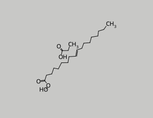 CCC(=O)O.CCCCCCCCC=CCCCCCCCC(=O)OO